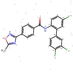 Cc1nc(-c2ccc(C(=O)Nc3ccc(F)cc3-c3ccc(F)c(F)c3)cc2)no1